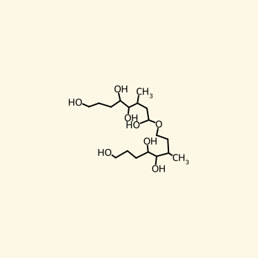 CC(CCOC(O)CC(C)C(O)C(O)CCCO)C(O)C(O)CCCO